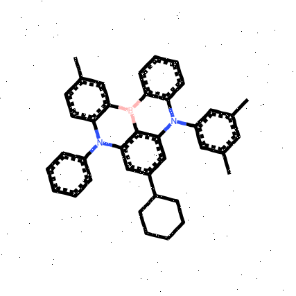 Cc1cc(C)cc(N2c3ccccc3B3c4cc(C)ccc4N(c4ccccc4)c4cc(C5CCCCC5)cc2c43)c1